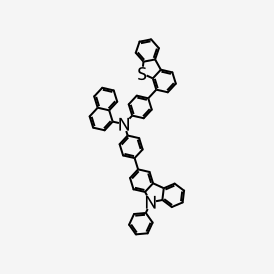 c1ccc(-n2c3ccccc3c3cc(-c4ccc(N(c5ccc(-c6cccc7c6sc6ccccc67)cc5)c5cccc6ccccc56)cc4)ccc32)cc1